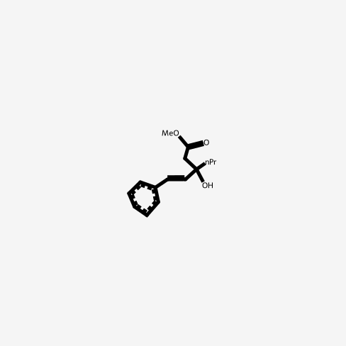 CCCC(O)(C=Cc1ccccc1)CC(=O)OC